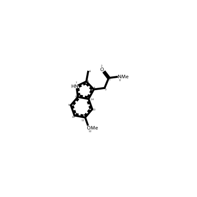 CNC(=O)Cc1c(C)[nH]c2ccc(OC)cc12